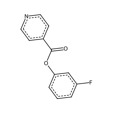 O=C(Oc1cccc(F)c1)c1ccncc1